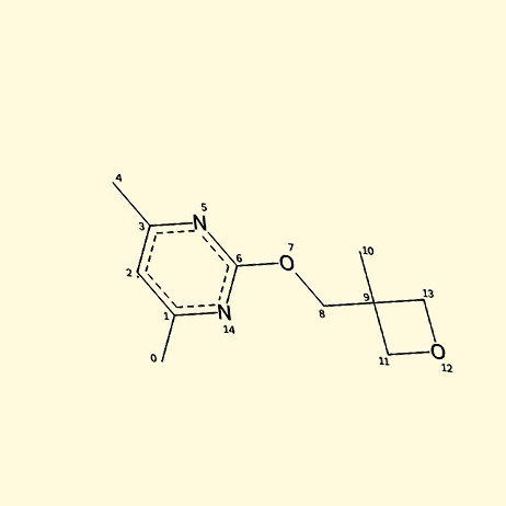 Cc1[c]c(C)nc(OCC2(C)COC2)n1